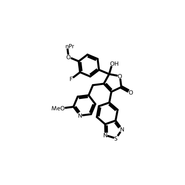 CCCOc1ccc(C2(O)OC(=O)C(c3ccc4nsnc4c3)=C2Cc2ccnc(OC)c2)cc1F